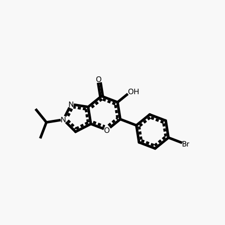 CC(C)n1cc2oc(-c3ccc(Br)cc3)c(O)c(=O)c2n1